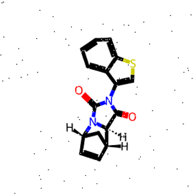 O=C1[C@H]2[C@@H]3C=C[C@@H](C3)N2C(=O)N1c1csc2ccccc12